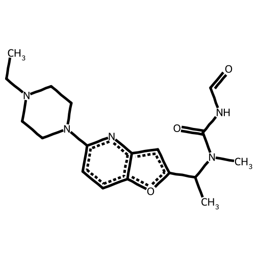 CCN1CCN(c2ccc3oc(C(C)N(C)C(=O)NC=O)cc3n2)CC1